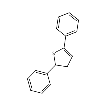 C1=C(c2ccccc2)SC(c2ccccc2)C1